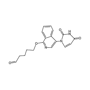 O=CCCCCOc1ncc(-n2ccc(=O)[nH]c2=O)c2ccccc12